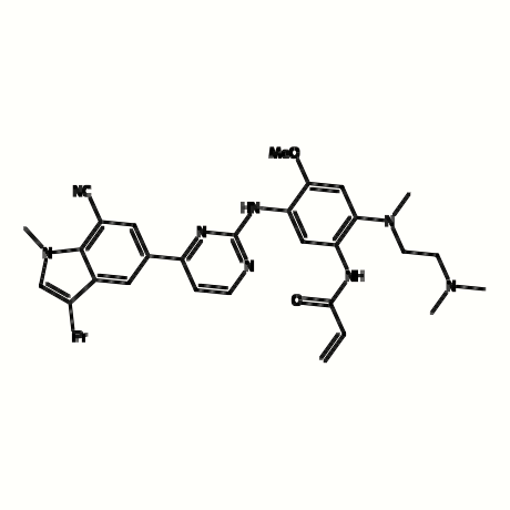 C=CC(=O)Nc1cc(Nc2nccc(-c3cc(C#N)c4c(c3)c(C(C)C)cn4C)n2)c(OC)cc1N(C)CCN(C)C